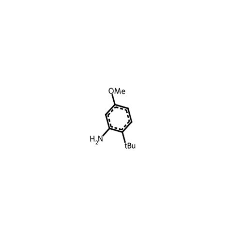 COc1ccc(C(C)(C)C)c(N)c1